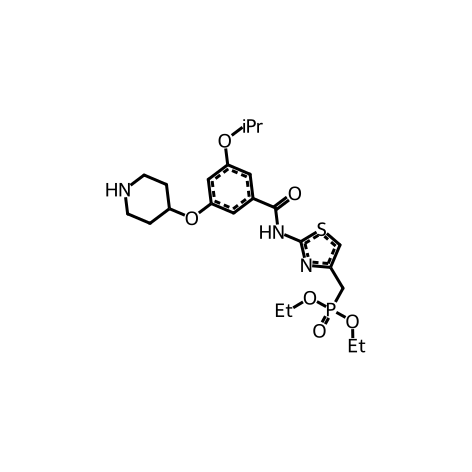 CCOP(=O)(Cc1csc(NC(=O)c2cc(OC(C)C)cc(OC3CCNCC3)c2)n1)OCC